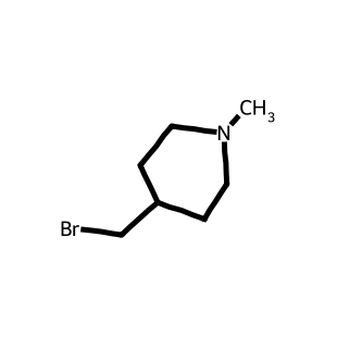 CN1CCC(CBr)CC1